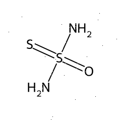 NS(N)(=O)=S